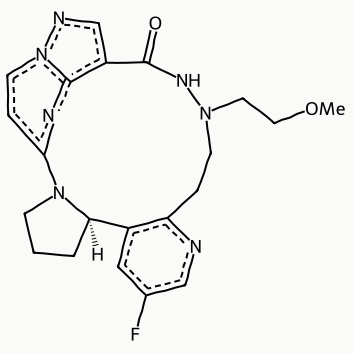 COCCN1CCc2ncc(F)cc2[C@H]2CCCN2c2ccn3ncc(c3n2)C(=O)N1